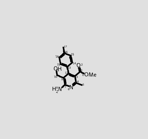 COC(=O)c1c(C)nc(N)c(CO)c1-c1ccc(C)cc1